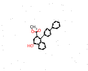 COC(=O)c1cc(O)c2ccccc2c1-c1ccc(-c2ccccc2)cc1